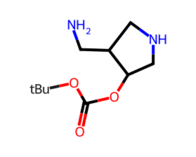 CC(C)(C)OC(=O)OC1CNCC1CN